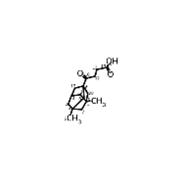 CC12CC3CC(C)(C1)CC(C(=O)CCC(=O)O)(C3)C2